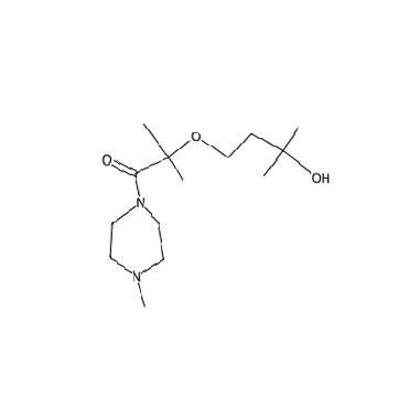 CN1CCN(C(=O)C(C)(C)OCCC(C)(C)O)CC1